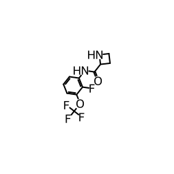 O=C(Nc1cccc(OC(F)(F)F)c1F)C1CCN1